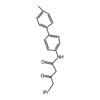 Cc1ccc(-c2ccc(NC(=O)CC(=O)CC(C)C)cc2)cc1